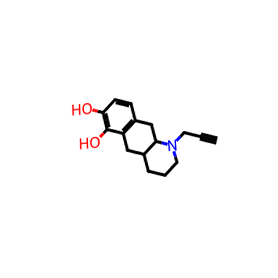 C#CCN1CCCC2Cc3c(ccc(O)c3O)CC21